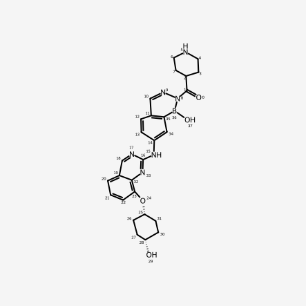 O=C(C1CCNCC1)N1N=Cc2ccc(Nc3ncc4cccc(O[C@H]5CC[C@@H](O)CC5)c4n3)cc2B1O